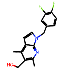 Cc1nc2c(ccn2Cc2ccc(F)c(F)c2)c(C)c1CO